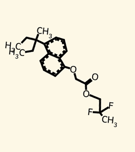 CCC(C)(CC)c1cccc2c(OCC(=O)OCC(C)(F)F)cccc12